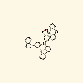 c1ccc2c(c1)Oc1ccccc1[Si]21c2ccccc2Sc2cc(N(c3ccc(-c4cccc5ccccc45)cc3)c3cccc4c3sc3ccccc34)ccc21